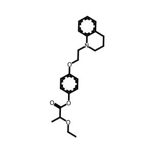 CCOC(C)C(=O)Oc1ccc(OCCN2CCCc3ccccc32)cc1